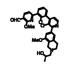 COc1cc(-c2nccc(-c3cccc(-c4ccc(C=O)c(OC)n4)c3Cl)c2Cl)cc2c1CN(C[C@@H](C)O)CC2